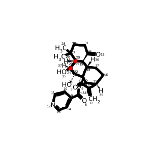 C=C1C(=O)[C@]23[C@H](OC(=O)c4ccncc4)[C@H]1CC[C@H]2[C@@]12CO[C@@]3(O)[C@@H](O)[C@@H]1C(C)(C)CCC2=O